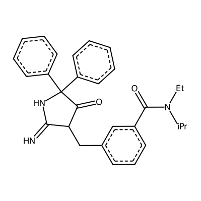 CCN(C(=O)c1cccc(CC2C(=N)NC(c3ccccc3)(c3ccccc3)C2=O)c1)C(C)C